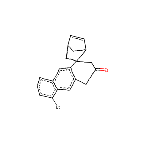 CCc1cccc2cc3c(cc12)CC(=O)CC31CC2C=CC1C2